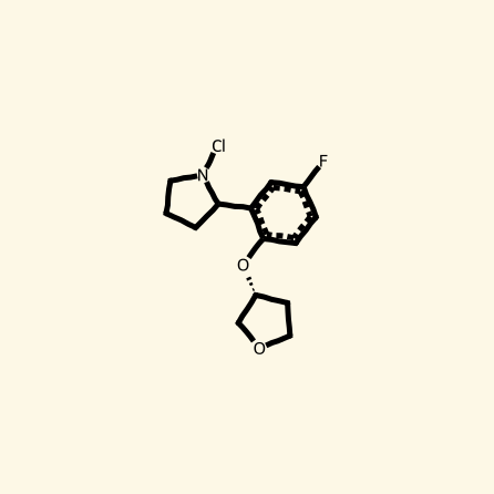 Fc1ccc(O[C@@H]2CCOC2)c(C2CCCN2Cl)c1